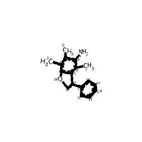 Cc1c(C)c2c(c(C)c1N)C(c1ccccc1)CO2